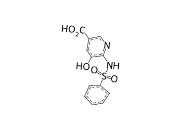 O=C(O)c1cnc(NS(=O)(=O)c2ccccc2)c(O)c1